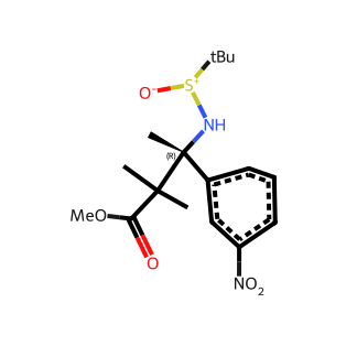 COC(=O)C(C)(C)[C@](C)(N[S+]([O-])C(C)(C)C)c1cccc([N+](=O)[O-])c1